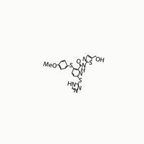 COc1ccc(Sc2ccc(Sc3nnc[nH]3)nc2C(=O)Nc2ncc(CO)s2)cc1